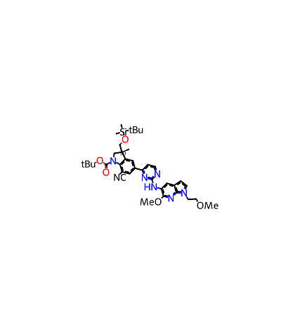 COCCn1ccc2cc(Nc3nccc(-c4cc(C#N)c5c(c4)[C@@](C)(CO[Si](C)(C)C(C)(C)C)CN5C(=O)OC(C)(C)C)n3)c(OC)nc21